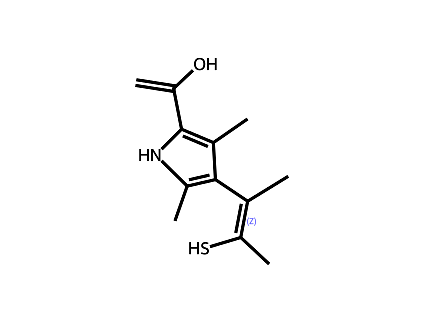 C=C(O)c1[nH]c(C)c(/C(C)=C(/C)S)c1C